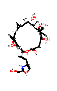 C/C(=C\c1coc(CO)n1)[C@@H]1CC2OC2(C)CC2CC2[C@H](C)[C@H](O)[C@@H](C)C(=O)C(C)(C)[C@@H](O)CC(=O)O1